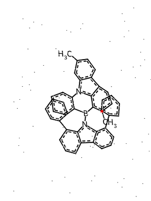 Cc1ccc2c3ccc(C)c4c3n(c2c1)-c1ccccc1B4n1c2c(-c3ccccc3)cccc2c2cccc(-c3ccccc3)c21